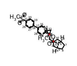 CC1(OC(=O)N2[C@H]3CC[C@H]2CC(COc2ncc(-c4ccc(S(C)(=O)=O)cc4)cn2)C3)CC1